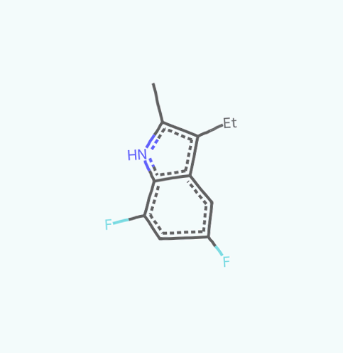 CCc1c(C)[nH]c2c(F)cc(F)cc12